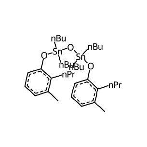 CCC[CH2][Sn]([CH2]CCC)([O]c1cccc(C)c1CCC)[O][Sn]([CH2]CCC)([CH2]CCC)[O]c1cccc(C)c1CCC